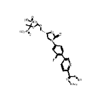 CN/N=C(\N=N)c1ccc(-c2ccc(N3C[C@H](COC(=O)OC(C)([PH](=O)O)P(=O)(O)O)OC3=O)cc2F)cn1